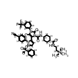 Cc1c(-c2ccnn2-c2ccc(C#N)cc2)n(C(=O)N[C@H]2CC[C@@H](C(=O)NCC[N+](C)(C)C)CC2)c(=O)n1-c1cccc(C(F)(F)F)c1.O=S(=O)([O-])c1ccccc1